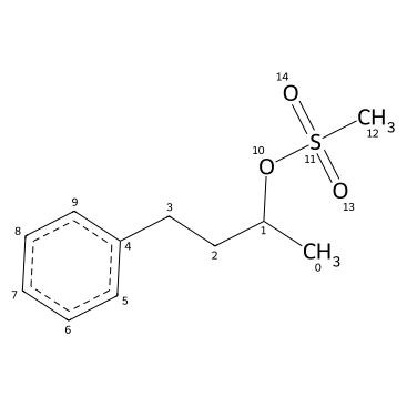 CC(CCc1ccccc1)OS(C)(=O)=O